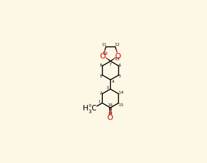 CC1CC(C2CCC3(CC2)OCCO3)CCC1=O